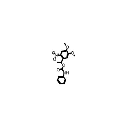 COc1cc(C(C)OC(=O)Nc2ccccc2)c([N+](=O)[O-])cc1OC